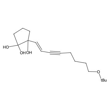 CC(C)(C)OCCCCC#CC=CC1(O)CCCC1(O)O